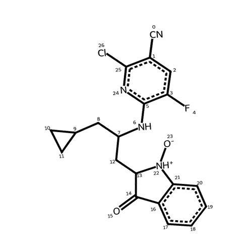 N#Cc1cc(F)c(NC(CC2CC2)CC2C(=O)c3ccccc3[NH+]2[O-])nc1Cl